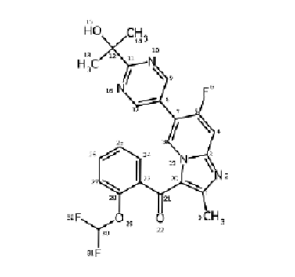 Cc1nc2cc(F)c(-c3cnc(C(C)(C)O)nc3)cn2c1C(=O)c1ccccc1OC(F)F